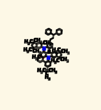 Cc1cc2c3c(c1)N(c1ccc(C(C)(C)C)cc1-c1ccccc1)c1cc4c(cc1B3c1ccc(CCC(c3ccccc3)c3ccccc3)cc1N2c1cc2c(cc1C)C(C)(C)CC2(C)C)C(C)(C)CC4(C)C